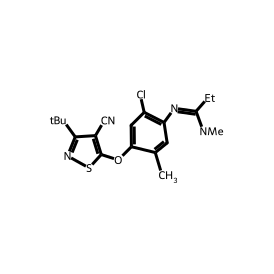 CCC(=Nc1cc(C)c(Oc2snc(C(C)(C)C)c2C#N)cc1Cl)NC